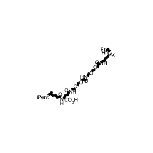 CCCC(C)CC(C)CCCC(=O)N[C@@H](CCC(=O)NCCOCCOCC(=O)NCCOCCOCC(=O)NCCCC[C@H](NC(C)(C)CC)C(C)=O)C(=O)O